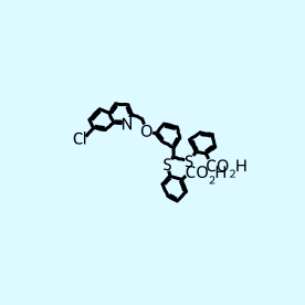 O=C(O)c1ccccc1SC(Sc1ccccc1C(=O)O)c1cccc(OCc2ccc3ccc(Cl)cc3n2)c1